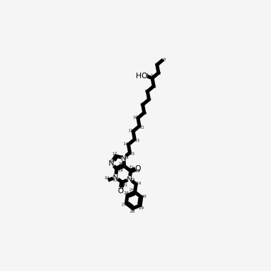 CCCC(O)CCCCCCCCCCCn1cnc2c1c(=O)n(Cc1ccccc1)c(=O)n2C